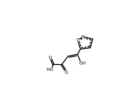 O=C(O)C(=O)/C=C(\O)c1ccns1